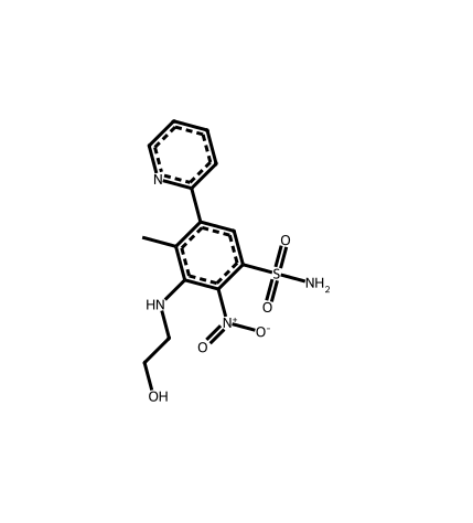 Cc1c(-c2ccccn2)cc(S(N)(=O)=O)c([N+](=O)[O-])c1NCCO